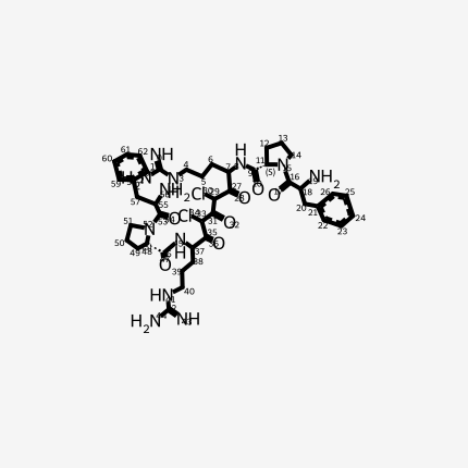 N=C(N)NCCCC(NC(=O)[C@@H]1CCCN1C(=O)C(N)Cc1ccccc1)C(=O)C(Cl)C(=O)C(Cl)C(=O)C(CCCNC(=N)N)NC(=O)[C@@H]1CCCN1C(=O)C(N)Cc1ccccc1